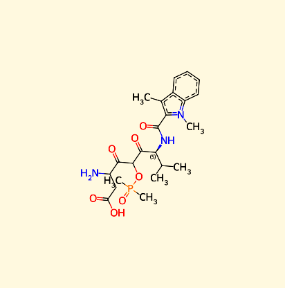 Cc1c(C(=O)N[C@H](C(=O)C(OP(C)(C)=O)C(=O)C(N)CC(=O)O)C(C)C)n(C)c2ccccc12